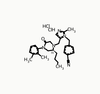 CCCC[C@H]1CN(c2cccc(C)c2C)C(=O)CN1Cc1cnc(C)n1Cc1ccc(C#N)cc1.Cl.Cl